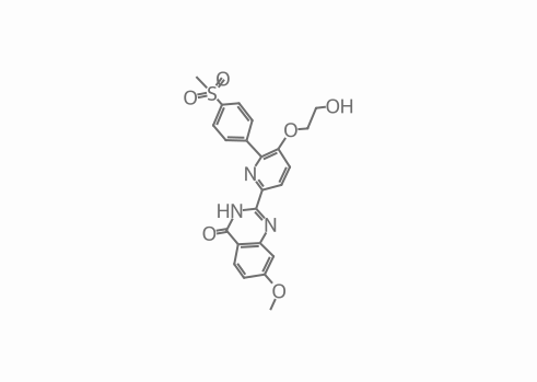 COc1ccc2c(=O)[nH]c(-c3ccc(OCCO)c(-c4ccc(S(C)(=O)=O)cc4)n3)nc2c1